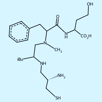 CCC(C)C(CN(C)C(Cc1ccccc1)C(=O)NC(CCO)C(=O)O)NC[C@H](N)CS